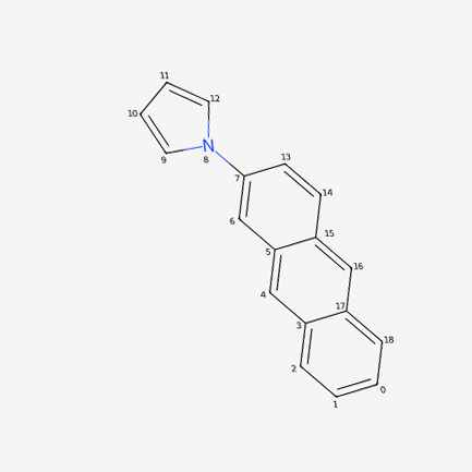 c1ccc2cc3cc(-n4cccc4)ccc3cc2c1